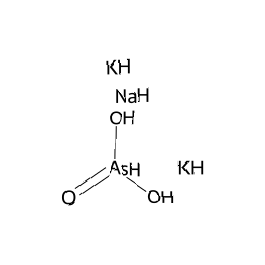 O=[AsH](O)O.[KH].[KH].[NaH]